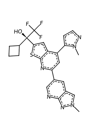 Cn1cc2cc(-c3cc(-c4ccnn4C)c4cc([C@](O)(C5CCC5)C(F)(F)F)sc4n3)cnc2n1